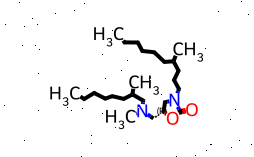 CCCCCCC(C)CCCN1C[C@@H](CN(C)CC(C)CCCCCC)OC1=O